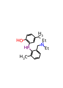 CCN(CC)Cc1cccc(C)c1Pc1cc(C)ccc1O